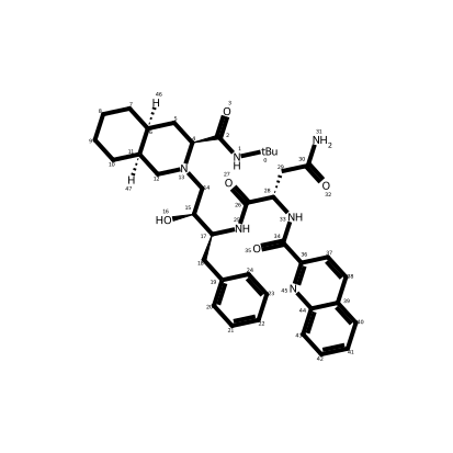 CC(C)(C)NC(=O)[C@@H]1C[C@@H]2CCCC[C@@H]2CN1C[C@H](O)[C@H](Cc1ccccc1)NC(=O)[C@H](CC(N)=O)NC(=O)c1ccc2ccccc2n1